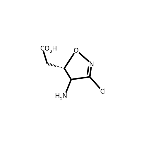 NC1C(Cl)=NO[C@H]1CC(=O)O